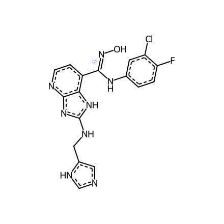 O/N=C(\Nc1ccc(F)c(Cl)c1)c1ccnc2nc(NCc3cnc[nH]3)[nH]c12